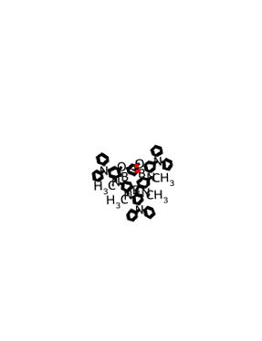 CN1c2cc3c(cc2B2c4ccccc4Oc4cc(N(c5ccccc5)c5ccccc5)cc1c42)B1c2cc4c(cc2N(C)c2cc(N(c5ccccc5)c5ccccc5)cc(c21)N3C)N(C)c1cc(N(c2ccccc2)c2ccccc2)cc2c1B4c1ccccc1O2